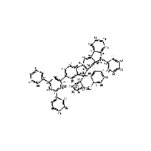 c1ccc(-c2nc(-c3ccccc3)nc(-c3ccc4c(c3)C3(c5ccccc5Oc5ccccc53)c3cc5c(cc3-4)c3ccccc3n5-c3ccccc3)n2)cc1